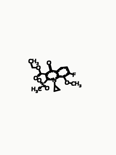 CCOC(=O)c1c(S(C)(=O)=O)n(C2CC2)c2c(OC)c(F)ccc2c1=O